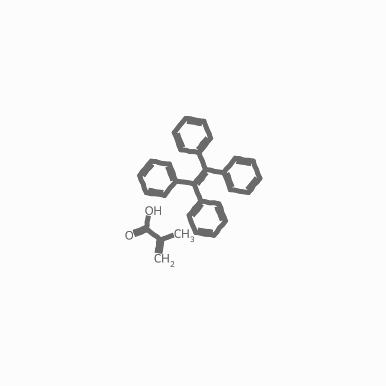 C=C(C)C(=O)O.c1ccc(C(=C(c2ccccc2)c2ccccc2)c2ccccc2)cc1